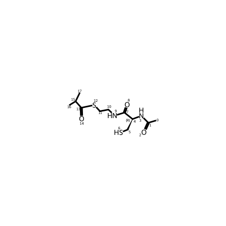 CC(=O)N[C@@H](CS)C(=O)NCCSC(=O)C(C)C